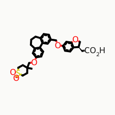 CC1(COc2ccc3c(c2)CCCc2ccc(COc4ccc5c(c4)OC[C@H]5CC(=O)O)cc2-3)CCS(=O)(=O)CC1